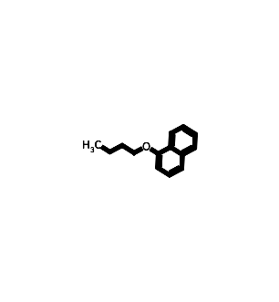 CCC[CH]Oc1cccc2ccccc12